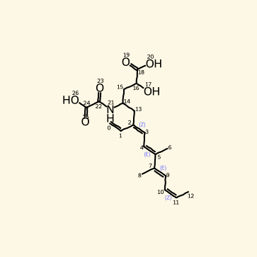 C=C\C(=C/C=C(C)/C(C)=C/C=C\C)CC(CC(O)C(=O)O)NC(=O)C(=O)O